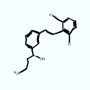 NCC[C@H](O)c1cccc(C=Cc2c(Cl)cccc2Cl)c1